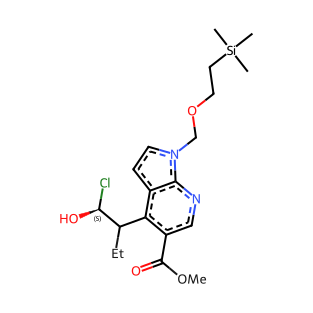 CCC(c1c(C(=O)OC)cnc2c1ccn2COCC[Si](C)(C)C)[C@@H](O)Cl